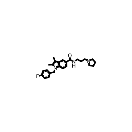 Cc1c(C)n(Cc2ccc(F)cc2)c2ccc(C(=O)NCCCN3CCCC3)cc12